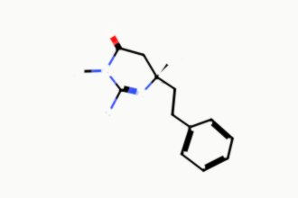 CN1C(=O)C[C@](C)(CCc2ccccc2)N=C1N